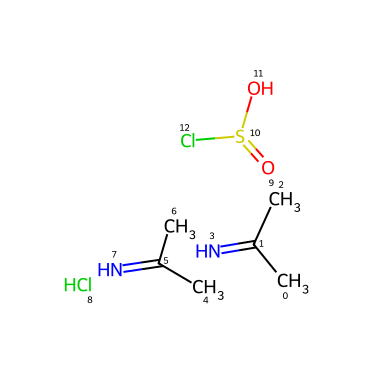 CC(C)=N.CC(C)=N.Cl.O=S(O)Cl